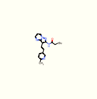 Cc1ccc(C=Cc2c(NC(=O)CC(C)(C)C)nn3cccnc23)cn1